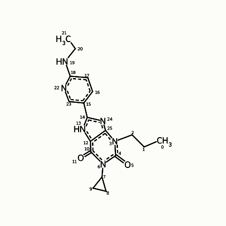 CCCn1c(=O)n(C2CC2)c(=O)c2[nH]c(-c3ccc(NCC)nc3)nc21